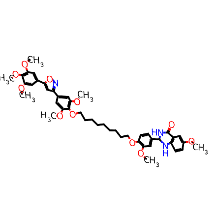 COc1ccc2c(c1)C(=O)NC(c1ccc(OCCCCCCCCCOc3c(OC)cc(-c4cc(-c5cc(OC)c(OC)c(OC)c5)on4)cc3OC)c(OC)c1)N2